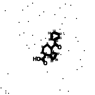 O=C(O)C1CCCC(C(=O)c2ccccc2)n2cccc21